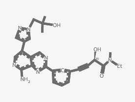 CCN(C)C(=O)[C@H](O)C#Cc1cccc(-c2ncc3c(-c4cnn(CC(C)(C)O)c4)cnc(N)c3n2)c1